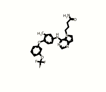 Cc1cc(Nc2ncnc3ccn(CCCC(N)=O)c23)ccc1Oc1cccc(OC(F)(F)F)c1